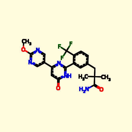 COc1ncc(-c2cc(=O)[nH]c(-c3cc(CC(C)(C)C(N)=O)ccc3C(F)(F)F)n2)cn1